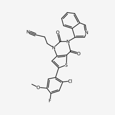 COc1cc(-c2cc3c(s2)c(=O)n(-c2cncc4ccccc24)c(=O)n3CCC#N)c(Cl)cc1F